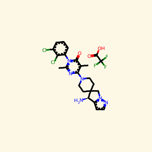 Cc1c(N2CCC3(CC2)Cn2nccc2[C@H]3N)nc(C)n(-c2cccc(Cl)c2Cl)c1=O.O=C(O)C(F)(F)F